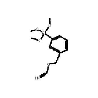 CO[Si](OC)(OC)c1cccc(COC=N)c1